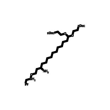 CCCCCCCCCCCCOC(CCCCCCCCCCC(N)CCO[SiH2]CC(C)C)OCCCCCCCCCCCC